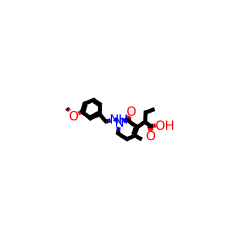 CCC(C(=O)O)C1=C(C)CCN(NCc2cccc(OC)c2)C1=O